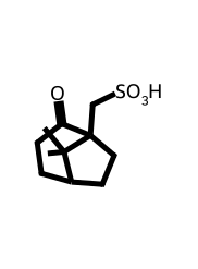 CC1(C)C2CCC(=O)C1(CS(=O)(=O)O)CC2